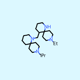 CCN1CCC2(CC1)NCCCC2CN1CCCCC12CCN(C(C)C)CC2